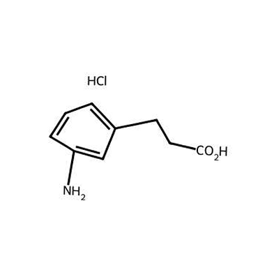 Cl.Nc1cccc(CCC(=O)O)c1